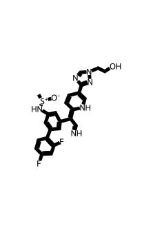 C[S+]([O-])Nc1cc(/C(C=N)=C2\C=CC(c3ncn(CCO)n3)=CN2)cc(-c2ccc(F)cc2F)c1